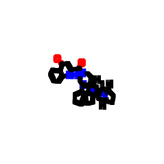 Cc1nc2ccccc2n1C1C[C@H]2CC[C@@H](C1)N2CCC1(c2ccccc2)CCN(C(=O)c2cc(=O)c3ccccc3[nH]2)CC1